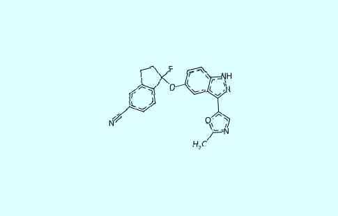 Cc1ncc(-c2n[nH]c3ccc(OC4(F)CCc5cc(C#N)ccc54)cc23)o1